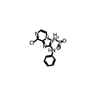 Clc1nccn2nc(Nc3ccccc3)nc12.N[SH](=O)=O